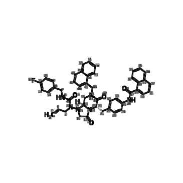 C=CCN(C(=O)NCc1ccc(F)cc1)N1CC(=O)N2[C@@H](Cc3ccc(NC(=O)c4cccc5ccccc45)cc3)C(=O)N(Cc3cccc4ccccc34)C[C@@H]21